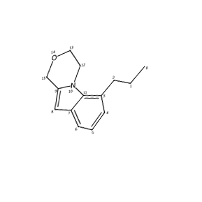 CCCc1cccc2cc3n(c12)CCOC3